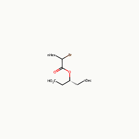 CCCCCCCCCCC[C@H](CC(=O)O)OC(=O)C(Br)CCCCCC